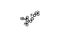 C=C(C)C(=O)OCC(COC(=O)C(C)(C)C)Oc1ccc(-c2ccc(OC(=O)C(=C)C)cc2F)cc1